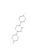 CCCC1CCC(C2CCC(C3CCC(C)CC3)C(F)C2F)CC1